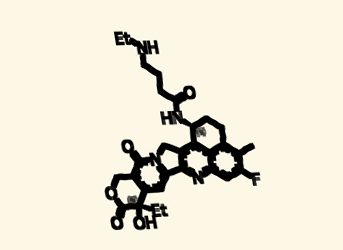 CCNCCCC(=O)N[C@H]1CCc2c(C)c(F)cc3nc4c(c1c23)Cn1c-4cc2c(c1=O)COC(=O)[C@]2(O)CC